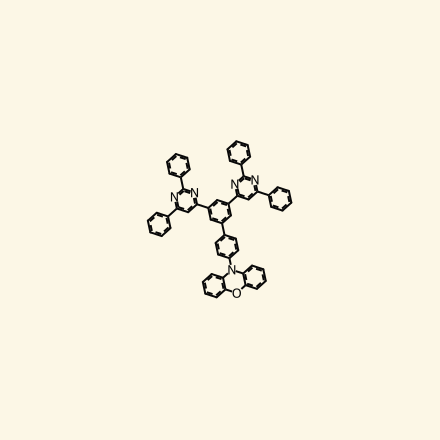 c1ccc(-c2cc(-c3cc(-c4ccc(N5c6ccccc6Oc6ccccc65)cc4)cc(-c4cc(-c5ccccc5)nc(-c5ccccc5)n4)c3)nc(-c3ccccc3)n2)cc1